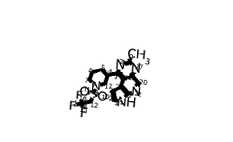 Cc1nc(C2CCCN(S(=O)(=O)CC(F)(F)F)C2)c2c(cnc3[nH]ccc32)n1